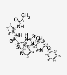 C=CC(=O)N[C@H]1CCC[C@H]1NC(=O)c1sc2nccc3c2c1NC(=O)N3c1cnc(Oc2ccccc2)cc1C